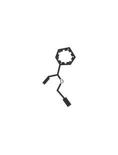 C#CCOC(C=C)c1ccccc1